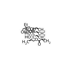 C=CC(=O)O.C=CC(=O)O.C=CC(=O)O.C=CCOC(=O)C=C.CCC(CO)(CO)CO